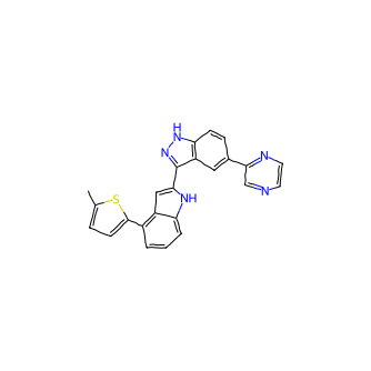 Cc1ccc(-c2cccc3[nH]c(-c4n[nH]c5ccc(-c6cnccn6)cc45)cc23)s1